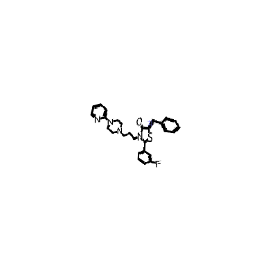 O=C1/C(=C/c2ccccc2)SC(c2cccc(F)c2)N1CCCN1CCN(c2ccccn2)CC1